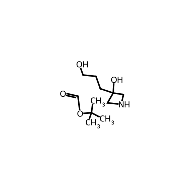 CC(C)(C)OC=O.OCCCC1(O)CNC1